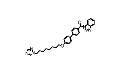 O=C(c1ccc(-c2ccc(OCCCCCCCCn3cncn3)cc2)cc1)n1nnc2ccccc21